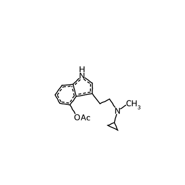 CC(=O)Oc1cccc2[nH]cc(CCN(C)C3CC3)c12